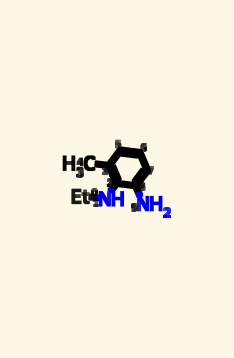 CCNc1c(C)cccc1N